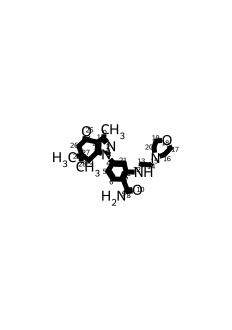 Cc1nn(-c2ccc(C(N)=O)c(NCCN3CCOCC3)c2)c2c1C(=O)CC(C)(C)C2